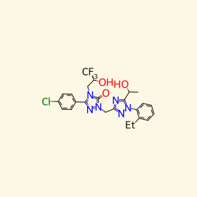 CCc1ccccc1-n1nc(Cn2nc(-c3ccc(Cl)cc3)n(C[C@H](O)C(F)(F)F)c2=O)nc1C(C)O